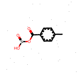 Cc1ccc(C(=O)O[Si](=O)O)cc1